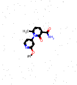 Cc1ccc(C(N)=O)c(=O)n1-c1ccnc(OC(C)C)c1